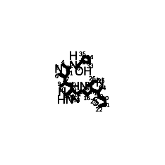 OC(Nc1cncc(-c2cnc3[nH]nc(-c4cc5c(-c6cccs6)cncc5[nH]4)c3c2)c1)C1CCC1